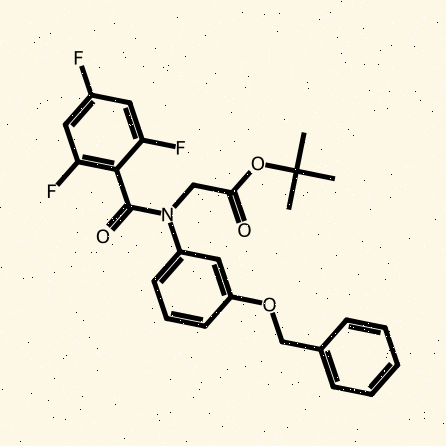 CC(C)(C)OC(=O)CN(C(=O)c1c(F)cc(F)cc1F)c1cccc(OCc2ccccc2)c1